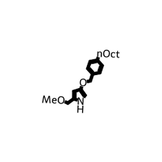 CCCCCCCCc1ccc(COc2c[nH]c(COC)c2)cc1